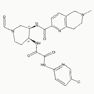 CN1CCc2nc(C(=O)N[C@@H]3CN(C=O)CC[C@@H]3NC(=O)C(=O)Nc3ccc(Cl)cn3)ccc2C1